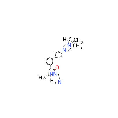 CC(C)CC(C(=O)NCC#N)c1cccc(-c2ccc(N3CCN(C(C)(C)C)CC3)cc2)c1